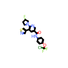 O=C(Nc1ccc(OC(F)(F)Cl)cc1)c1cnc(N2CCC(F)C2)c(-c2cnsc2)c1